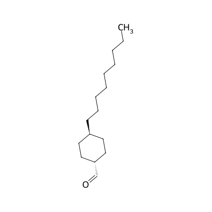 CCCCCCCCC[C@H]1CC[C@H](C=O)CC1